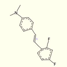 CN(C)c1ccc(/C=C/c2ccc(F)cc2F)cc1